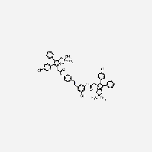 CC1(C)Cc2c(-c3ccccc3)c(-c3ccc(Cl)cc3)c(CC(=O)Oc3ccc(/C=C/c4cc(O)cc(OC(=O)Cc5c(-c6ccc(Cl)cc6)c(-c6ccccc6)c6n5CC(C)(C)C6)c4)cc3)n2C1